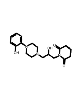 O=C1CCCC(=O)N1CC(O)CN1CCN(c2ccccc2O)CC1